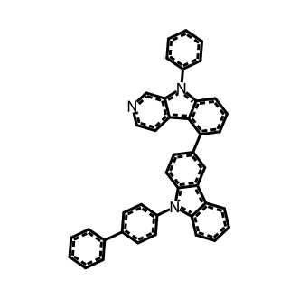 c1ccc(-c2ccc(-n3c4ccccc4c4cc(-c5cccc6c5c5ccncc5n6-c5ccccc5)ccc43)cc2)cc1